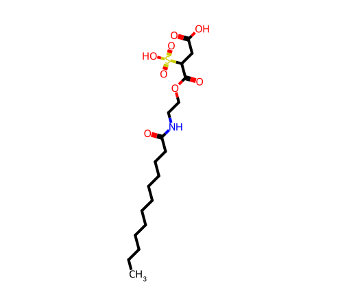 CCCCCCCCCCCC(=O)NCCOC(=O)C(CC(=O)O)S(=O)(=O)O